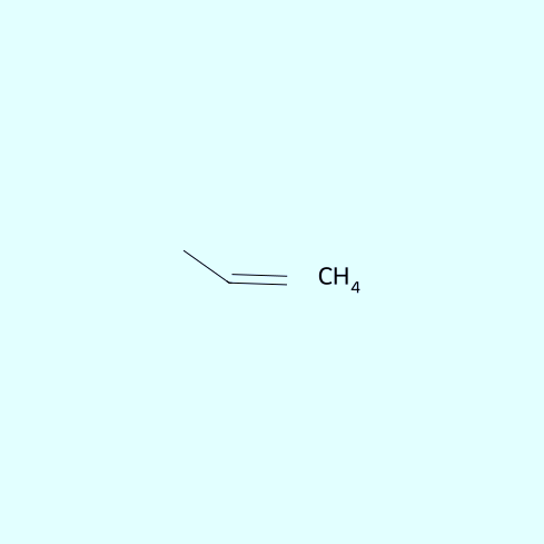 C.C=CC